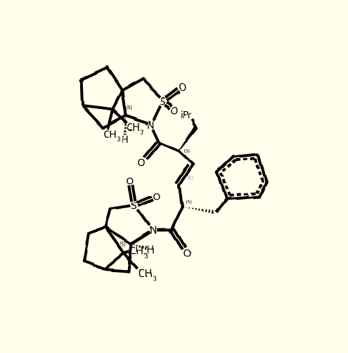 CC(C)C[C@@H](/C=C/[C@H](Cc1ccccc1)C(=O)N1[C@H]2CC3CCC2(CS1(=O)=O)C3(C)C)C(=O)N1[C@H]2CC3CCC2(CS1(=O)=O)C3(C)C